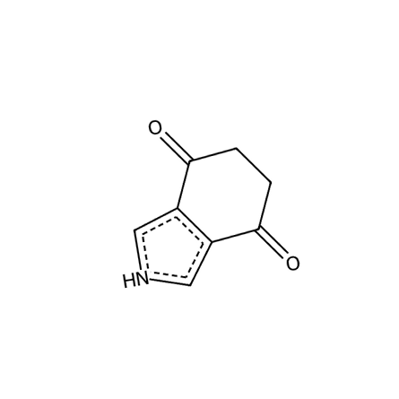 O=C1CCC(=O)c2c[nH]cc21